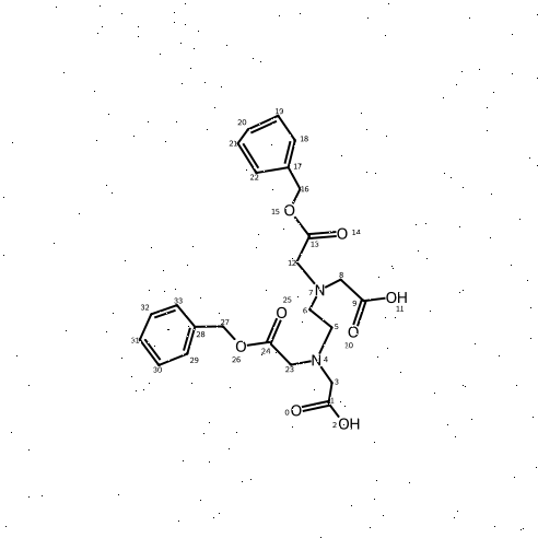 O=C(O)CN(CCN(CC(=O)O)CC(=O)OCc1ccccc1)CC(=O)OCc1ccccc1